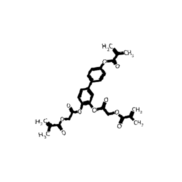 C=C(C)C(=O)OCC(=O)Oc1ccc(-c2ccc(OC(=O)C(=C)C)cc2)cc1OC(=O)COC(=O)C(=C)C